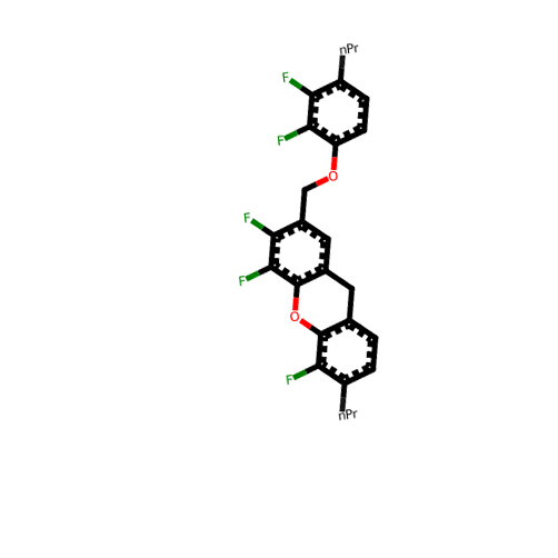 CCCc1ccc(OCc2cc3c(c(F)c2F)Oc2c(ccc(CCC)c2F)C3)c(F)c1F